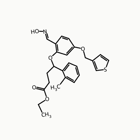 CCOC(=O)CCC(Oc1cc(OCc2ccsc2)ccc1C=NO)c1ccccc1C